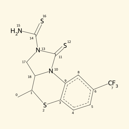 CC1Sc2ccc(C(F)(F)F)cc2N2C(=S)N(C(N)=S)CC12